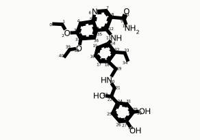 CCOc1cc2ncc(C(N)=O)c(Nc3cccc(CNCC(O)c4ccc(O)c(O)c4)c3CC)c2cc1OCC